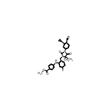 COC(=O)c1ccc(Nc2cc(F)ccc2CN2C(=O)N(c3ccc(C#N)c(C4CC4)c3)C(=O)C2(C)C)cc1